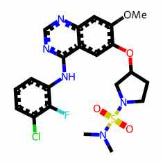 COc1cc2ncnc(Nc3cccc(Cl)c3F)c2cc1OC1CCN(S(=O)(=O)N(C)C)C1